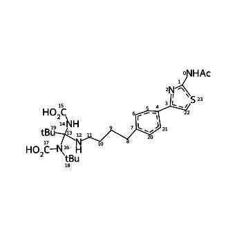 CC(=O)Nc1nc(-c2ccc(CCCCNC(NC(=O)O)(N(C(=O)O)C(C)(C)C)C(C)(C)C)cc2)cs1